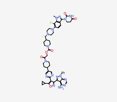 CC(C)n1nc(-c2noc(C3CC3)c2-c2ncc(C3CCN(C(=O)COC(=O)N4CCC(CN5CCN(c6ccc7c(N8CCC(=O)NC8=O)nn(C)c7c6F)CC5)CC4)CC3)cn2)c2c(N)ncnc21